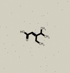 CC/C(=C\C(=O)O)C(C)C